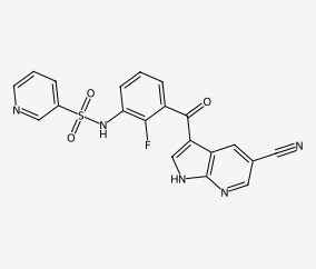 N#Cc1cnc2[nH]cc(C(=O)c3cccc(NS(=O)(=O)c4cccnc4)c3F)c2c1